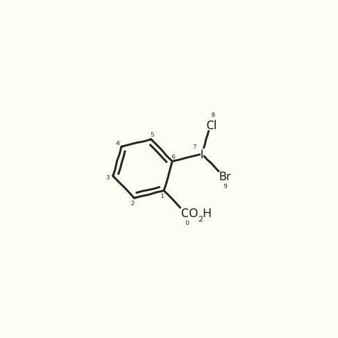 O=C(O)c1ccccc1I(Cl)Br